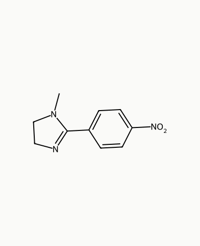 CN1CCN=C1c1ccc([N+](=O)[O-])cc1